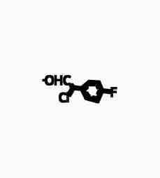 O=[C]C(Cl)c1ccc(F)cc1